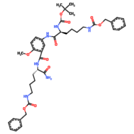 COc1ccc(NC(=O)[C@H](CCCCNC(=O)OCc2ccccc2)NC(=O)OC(C)(C)C)cc1C(=O)N[C@@H](CCCCNC(=O)OCc1ccccc1)C(N)=O